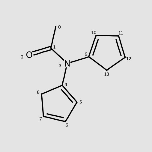 CC(=O)N(C1=CC=CC1)C1=CC=CC1